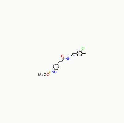 COOSNc1ccc(CCC(=O)NC/C=C/c2ccc(C)c(Cl)c2)cc1